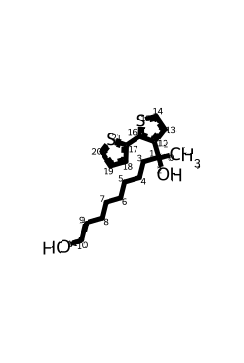 CC(O)(CCCCCCCCO)c1ccsc1-c1cccs1